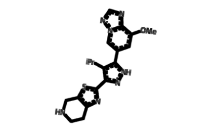 COc1cc(-c2[nH]nc(-c3nc4c(s3)CNCC4)c2C(C)C)cn2ncnc12